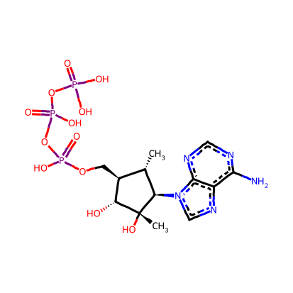 C[C@H]1[C@H](COP(=O)(O)OP(=O)(O)OP(=O)(O)O)[C@@H](O)[C@@](C)(O)[C@@H]1n1cnc2c(N)ncnc21